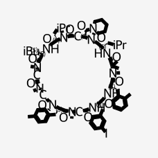 CC[C@H](C)[C@@H]1NC(=O)[C@H](CC(C)C)N(C)C(=O)C[C@@H](C(=O)N2CCCCC2)N(C)C(=O)[C@H](CC(C)C)NC(=O)C(C)(C)N(C)C(=O)[C@H](Cc2ccccc2C)NC(=O)[C@H](Cc2cccc(I)c2)NC(=O)CN(C)C(=O)[C@H](Cc2ccc(C)cc2)N(C)C(=O)CN(C)C(=O)CN(C)C1=O